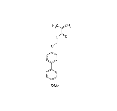 C=C(C)C(=O)OCOc1ccc(-c2ccc(OC)cc2)cc1